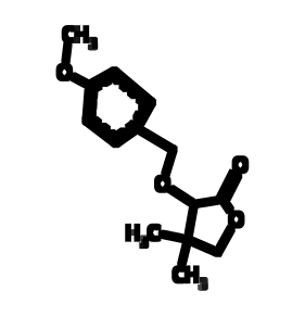 COc1ccc(COC2C(=O)OCC2(C)C)cc1